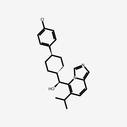 CC(C)c1ccc2cncn2c1[C@@H](O)[C@H]1CC[C@H](c2ccc(Cl)cc2)CC1